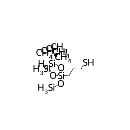 C.C.C.C.C.C.[SiH3]O[Si](CCCS)(O[SiH3])O[SiH3]